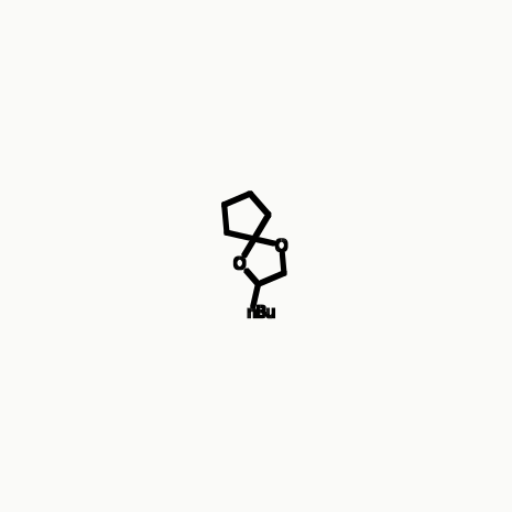 CCCCC1COC2(CCCC2)O1